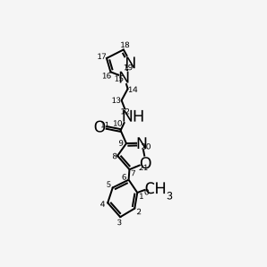 Cc1ccccc1-c1cc(C(=O)NCCn2cccn2)no1